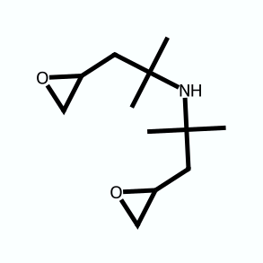 CC(C)(CC1CO1)NC(C)(C)CC1CO1